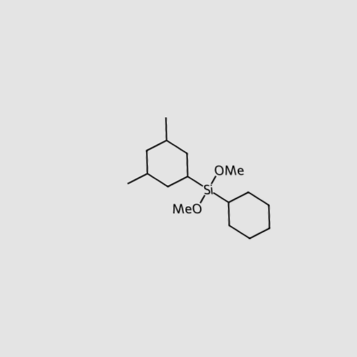 CO[Si](OC)(C1CCCCC1)C1CC(C)CC(C)C1